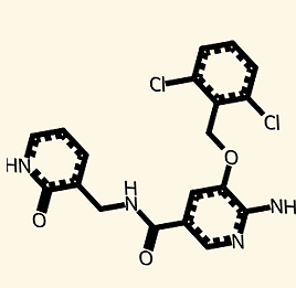 Nc1ncc(C(=O)NCc2ccc[nH]c2=O)cc1OCc1c(Cl)cccc1Cl